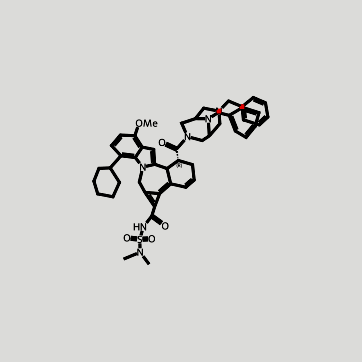 COc1ccc(C2CCCCC2)c2c1cc1n2CC2=C(C(=O)NS(=O)(=O)N(C)C)C2=C2C=CC[C@@H](C(=O)N3CC4CN(Cc5ccccc5)CC(C3)N4Cc3ccccc3)C21